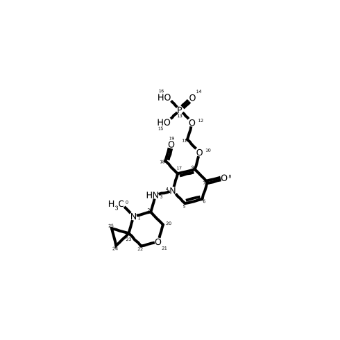 CN1C(Nn2ccc(=O)c(OCOP(=O)(O)O)c2C=O)COCC12CC2